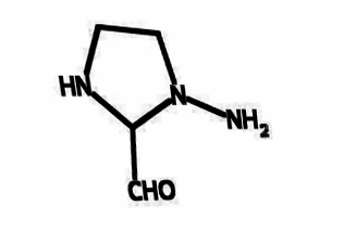 NN1CCNC1C=O